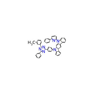 Cc1cccc(-c2nc(-c3ccccc3)nc(-c3ccc(N4c5ccccc5C5C=c6c(n(-c7cccc(-c8ccccc8)n7)c7ccccc67)=CC54)cc3)n2)c1